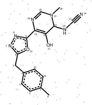 Cc1ccc(Cc2nnc(C3=C(O)C(NC#N)N(C)C=N3)o2)cc1